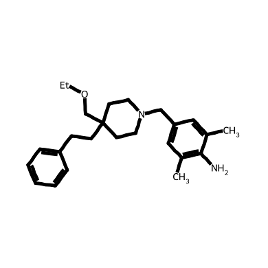 CCOCC1(CCc2ccccc2)CCN(Cc2cc(C)c(N)c(C)c2)CC1